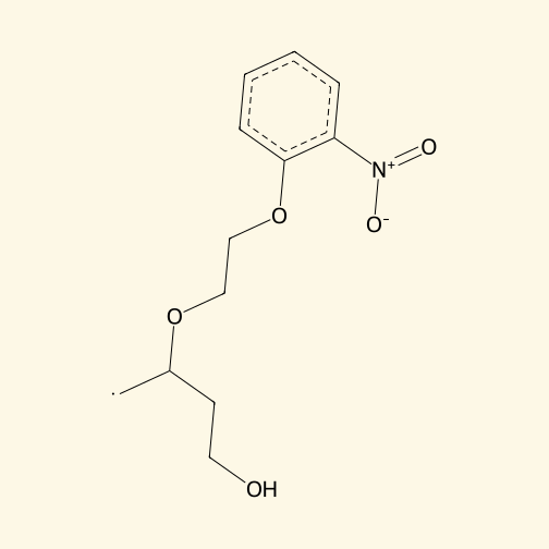 [CH2]C(CCO)OCCOc1ccccc1[N+](=O)[O-]